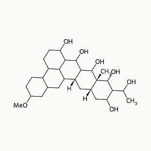 COC1CCC2C(C1)CC1C3C2CCC(O)C3C(O)C2C(O)[C@]3(C)C(O)C(C(C)O)C(O)C[C@@H]3C[C@H]12